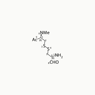 CN[C@@H](CSSC[C@H](N)C=O)C(C)=O